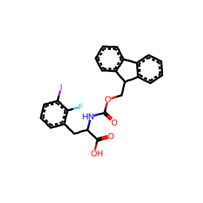 O=C(NC(Cc1cccc(I)c1F)C(=O)O)OCC1c2ccccc2-c2ccccc21